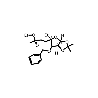 CCOP(C)(=O)CC[C@@]1(CC)O[C@@H]2OC(C)(C)O[C@H]2C1OCc1ccccc1